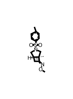 CON=C1C[C@H]2CN(S(=O)(=O)c3ccc(C)cc3)C[C@@]12C